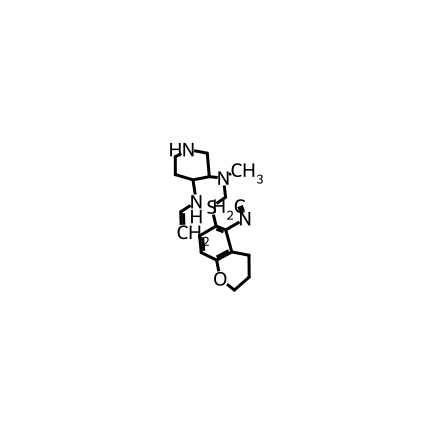 C=CNC1CCNCC1N(C)CSc1ccc2c(c1N=C)CCCO2